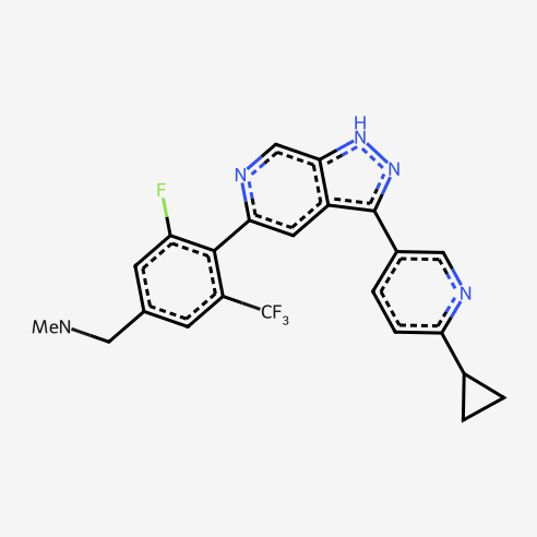 CNCc1cc(F)c(-c2cc3c(-c4ccc(C5CC5)nc4)n[nH]c3cn2)c(C(F)(F)F)c1